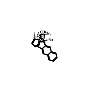 CC(C)(C)[C]1([Hf]([CH3])([CH3])([CH3])([CH3])([CH3])([CH3])([CH3])[CH]2C=CC=C2)C=Cc2cc3ccccc3cc21